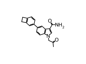 CC(=O)Cn1cc(C(N)=O)c2cc(-c3ccc4c(c3)CC4)ccc21